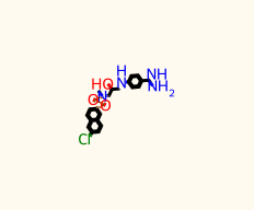 CN(CC(O)CNc1ccc(C(=N)N)cc1)S(=O)(=O)c1ccc2cc(Cl)ccc2c1